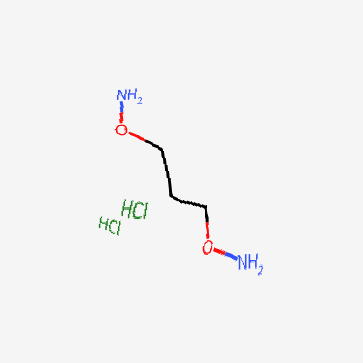 Cl.Cl.NOCCCON